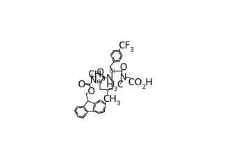 CC1=CCN([C@@H](Cc2ccc(C(F)(F)F)cc2)C(=O)N(C)CC(=O)O)C(=O)[C@@H](N(C)C(=O)OCC2c3ccccc3-c3ccccc32)C1